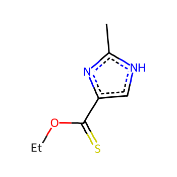 CCOC(=S)c1c[nH]c(C)n1